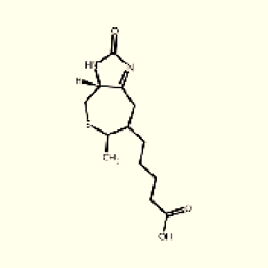 CC1SC[C@@H]2NC(=O)N=C2CC1CCCCC(=O)O